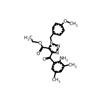 CCOC(=O)c1c(C(=O)c2cc(C)cc(C)c2N)nnn1Cc1ccc(OC)cc1